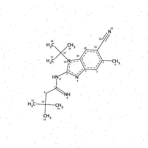 Cc1cc2nc(NC(=N)CC(C)(C)C)n(C(C)(C)C)c2cc1C#N